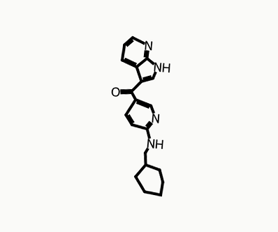 O=C(c1ccc(NCC2CCCCC2)nc1)c1c[nH]c2ncccc12